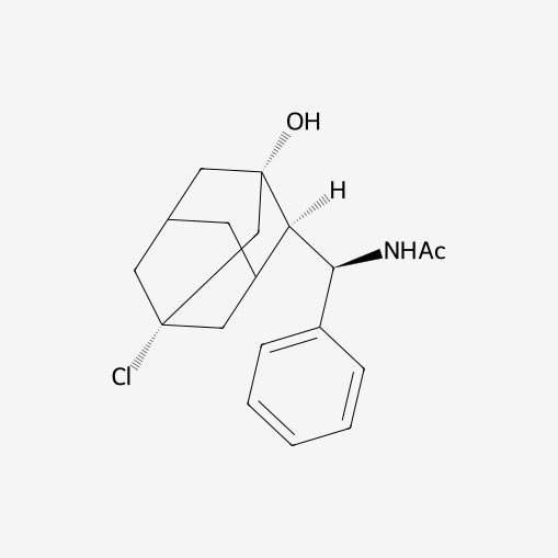 CC(=O)N[C@@H](c1ccccc1)[C@H]1C2CC3C[C@](Cl)(C2)C[C@@]1(O)C3